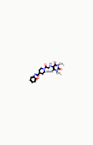 CNc1c(NCC(=O)N2CCC(c3nc4ccccc4o3)CC2)c(=O)n(C)c(=O)n1C